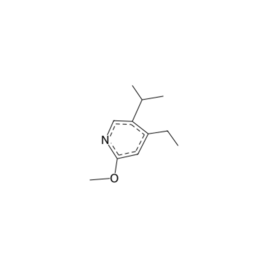 CCc1cc(OC)ncc1C(C)C